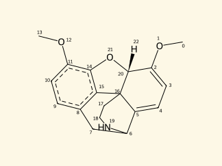 COC1=CC=C2C3Cc4ccc(OC)c5c4C2(CCN3)[C@@H]1O5